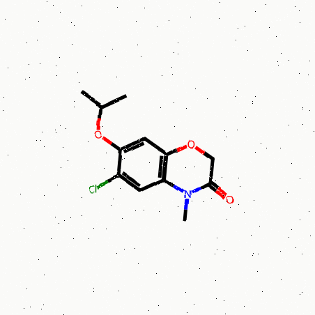 CC(C)Oc1cc2c(cc1Cl)N(C)C(=O)CO2